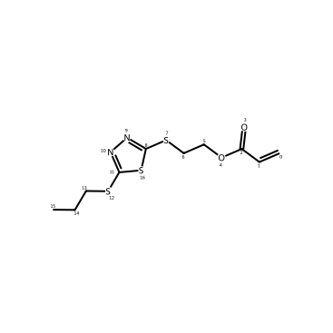 C=CC(=O)OCCSc1nnc(SCCC)s1